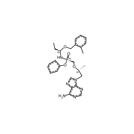 CC[C@H](N[P@@](=O)(CO[C@H](C)Cn1cnc2c(N)ncnc21)Oc1ccccc1)OCc1ccccc1C